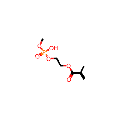 C=C(C)C(=O)OCCOP(=O)(O)OC